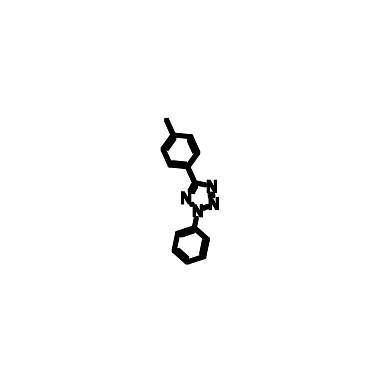 Cc1ccc(-c2nnn(-c3ccccc3)n2)cc1